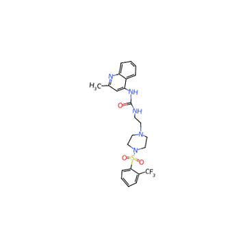 Cc1cc(NC(=O)NCCN2CCN(S(=O)(=O)c3ccccc3C(F)(F)F)CC2)c2ccccc2n1